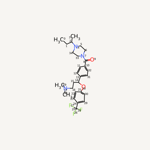 CCC(C)N1CCN(C(=O)c2ccc(C(CCN(C)C)Oc3ccc(C(F)(F)F)cc3)cc2)CC1